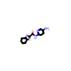 Nc1ccc(NC(=O)c2nc3ccccc3s2)nc1